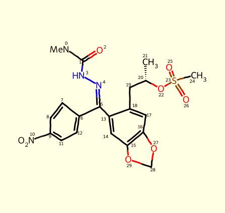 CNC(=O)NN=C(c1ccc([N+](=O)[O-])cc1)c1cc2c(cc1C[C@H](C)OS(C)(=O)=O)OCO2